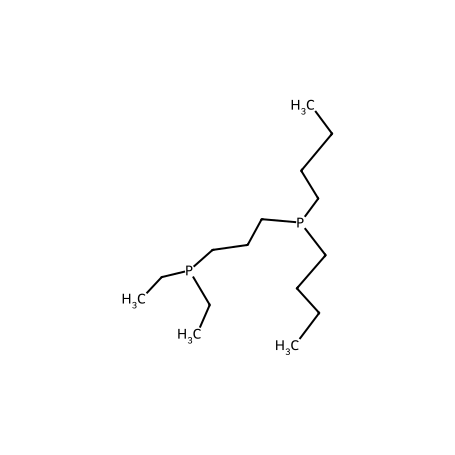 CCCCP(CCCC)CCCP(CC)CC